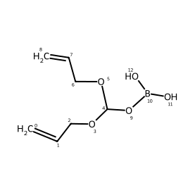 C=CCOC(OCC=C)OB(O)O